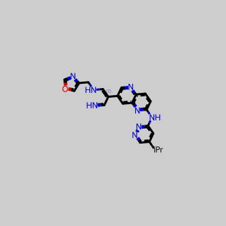 CC(C)c1cnnc(Nc2ccc3ncc(/C(C=N)=C/NCc4cocn4)cc3n2)c1